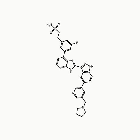 NS(=O)(=O)CCc1cc(F)cc(-c2cccc3[nH]c(-c4n[nH]c5ccc(-c6cncc(CN7CCCC7)c6)nc45)nc23)c1